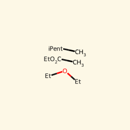 CCCC(C)C.CCOC(C)=O.CCOCC